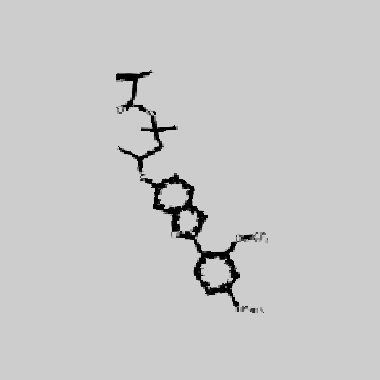 C=C(C)C(=O)OC(C)(C)CC(C)Sc1ccc2cc(-c3ccc(CCCCC)cc3OC(F)(F)F)oc2c1